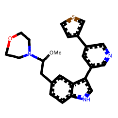 COC(Cc1ccc2[nH]cc(-c3cncc(-c4ccsc4)c3)c2c1)N1CCOCC1